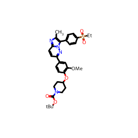 CCS(=O)(=O)c1ccc(-c2c(C)nc3ccc(-c4ccc(OC5CCN(C(=O)OC(C)(C)C)CC5)c(OC)c4)nn23)cc1